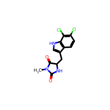 CN1C(=O)NC(Cc2c[nH]c3c(Cl)c(Cl)ccc23)C1=O